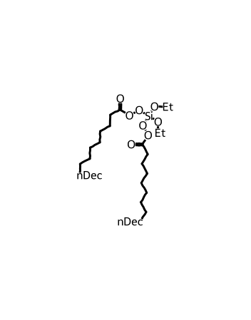 CCCCCCCCCCCCCCCCCC(=O)OO[Si](OCC)(OCC)OOC(=O)CCCCCCCCCCCCCCCCC